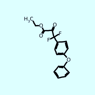 CCOC(=O)C(=O)C(F)(F)c1ccc(Oc2ccccc2)cc1